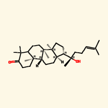 CC(C)=CCC[C@](C)(O)[C@H]1CC[C@@]2(C)[C@@H]1CC[C@@H]1[C@@]3(C)CCC(=O)C(C)(C)C3CC[C@]12C